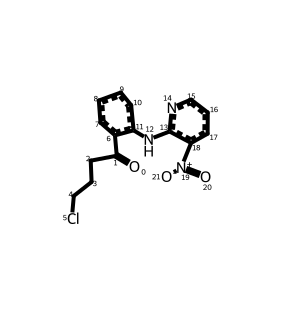 O=C(CCCCl)c1ccccc1Nc1ncccc1[N+](=O)[O-]